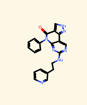 O=c1c2c[nH]nc2c2cnc(NCCc3cccnc3)nc2n1-c1ccccc1